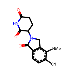 CNc1c(C#N)ccc2c1CN(C1CCC(=O)NC1=O)C2=O